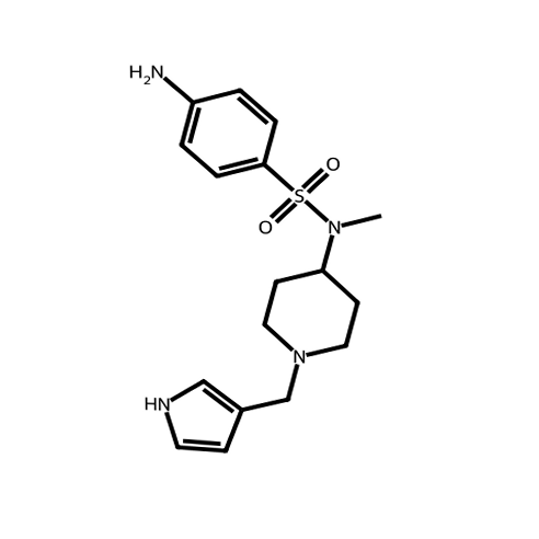 CN(C1CCN(Cc2cc[nH]c2)CC1)S(=O)(=O)c1ccc(N)cc1